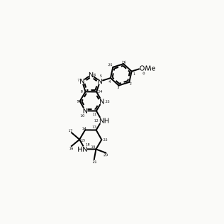 COc1ccc(-n2nnc3cnc(NC4CC(C)(C)NC(C)(C)C4)nc32)cc1